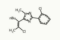 CCCCC(=C(C)Cl)c1nc(-c2ccccc2Cl)nn1C